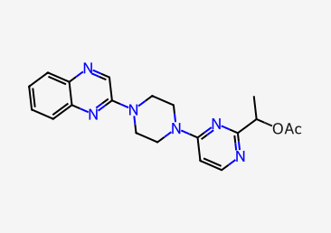 CC(=O)OC(C)c1nccc(N2CCN(c3cnc4ccccc4n3)CC2)n1